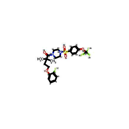 CC(C)(CCOc1ccccc1F)C(=O)N1CCN(S(=O)(=O)c2ccc(OC(F)(F)F)cc2)CC1